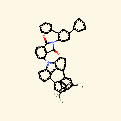 O=C1c2cccc(-n3c4cccc(-c5cc(C(F)(F)F)cc(C(F)(F)F)c5)c4c4c(-c5cc(C(F)(F)F)cc(C(F)(F)F)c5)cccc43)c2C(=O)N1c1ccc(-c2ccccc2)cc1-c1ccccc1